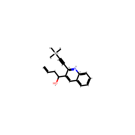 C=CCC(O)c1cc2ccccc2nc1C#C[Si](C)(C)C